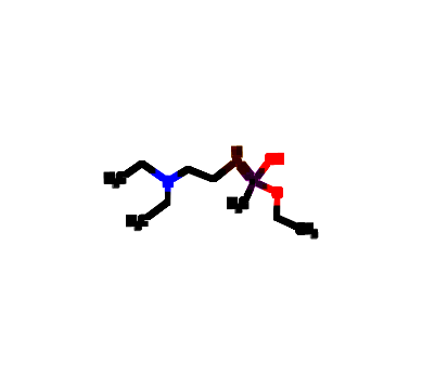 CCOP(C)(O)=[SH]CCN(CC)CC